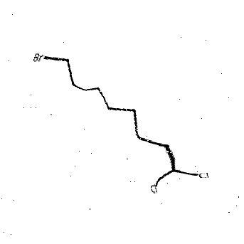 ClC(Cl)CCCCCCCBr